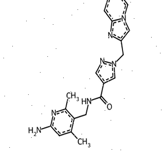 Cc1cc(N)nc(C)c1CNC(=O)c1cnn(Cc2cn3ccccc3n2)c1